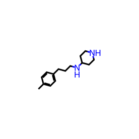 Cc1ccc(CCCNC2CCNCC2)cc1